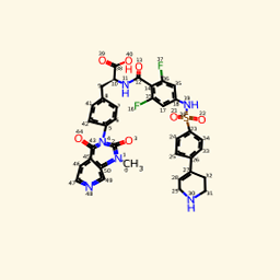 Cn1c(=O)n(-c2ccc(C[C@H](NC(=O)c3c(F)cc(NS(=O)(=O)c4ccc(C5=CCNCC5)cc4)cc3F)C(=O)O)cc2)c(=O)c2ccncc21